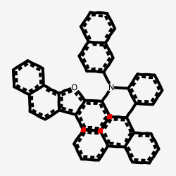 c1ccc(N(c2ccc3ccccc3c2)c2cccc3c2oc2c4ccccc4ccc32)c(-c2cc3ccccc3c3ccccc23)c1